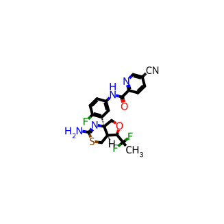 CC(F)(F)C1OC[C@]2(c3cc(NC(=O)c4ccc(C#N)cn4)ccc3F)N=C(N)SC[C@H]12